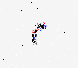 Cc1ccc(N2CCN(C(=O)CCOC[C@H](C)Nc3cn[nH]c(=O)c3C(F)(F)F)CC2)nc1